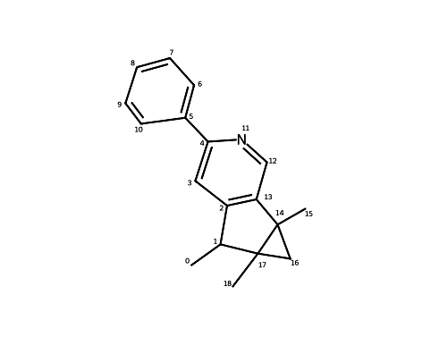 CC1c2cc(-c3ccccc3)ncc2C2(C)CC12C